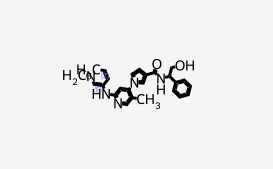 C=N/C=C(\C=C/C)Nc1cc(-n2ccc(C(=O)NC(CO)c3ccccc3)c2)c(C)cn1